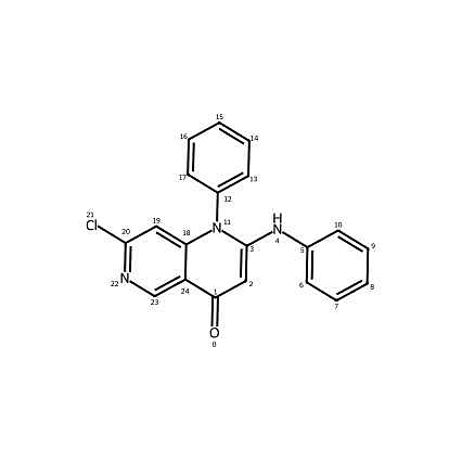 O=c1cc(Nc2ccccc2)n(-c2ccccc2)c2cc(Cl)ncc12